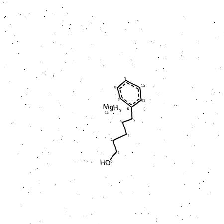 OCCCCCc1ccccc1.[MgH2]